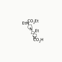 CCOC(=O)N(CC)C1CCN(C2CC3(CCN(C(=O)O)C3)C2CC)CC1